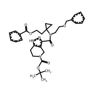 CC(C)(C)OC(=O)N1CCc2[nH]nc(C(=O)N(CCOCc3ccccc3)C3(CCOC(=O)c4ccccc4)CC3)c2C1